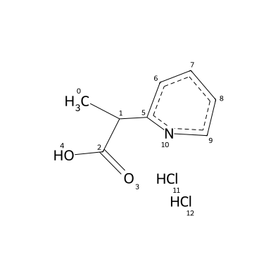 CC(C(=O)O)c1ccccn1.Cl.Cl